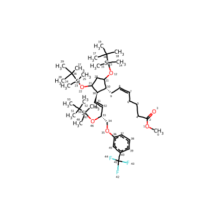 COC(=O)CCC/C=C\C[C@H]1C(O[Si](C)(C)C(C)(C)C)CC(O[Si](C)(C)C(C)(C)C)[C@@H]1/C=C/[C@H](COc1cccc(C(F)(F)F)c1)O[Si](C)(C)C(C)(C)C